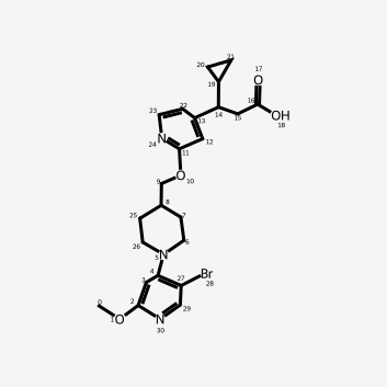 COc1cc(N2CCC(COc3cc(C(CC(=O)O)C4CC4)ccn3)CC2)c(Br)cn1